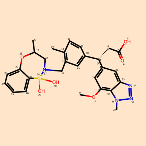 COc1cc([C@@H](CC(=O)O)c2ccc(C)c(CN3CC(C)Oc4ccccc4S3(O)O)c2)cc2nnn(C)c12